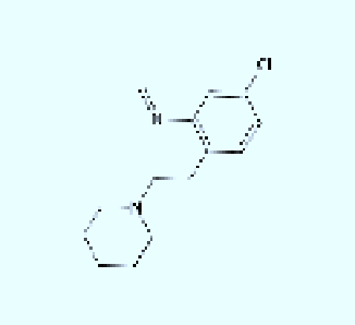 C=Nc1cc(Cl)ccc1CCN1CCCCC1